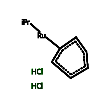 C[CH](C)[Ru][c]1ccccc1.Cl.Cl